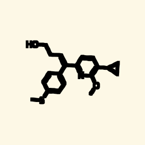 COc1nc(C(=CCCO)c2ccc(SC)cc2)ccc1C1CC1